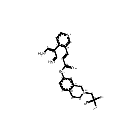 N=C/C(=C\N)c1ccncc1/C=C/C(=O)Nc1ccc2c(c1)CN(CC(F)(F)F)CC2